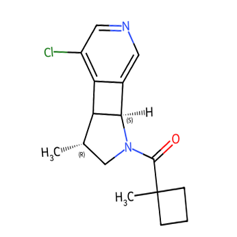 C[C@H]1CN(C(=O)C2(C)CCC2)[C@@H]2c3cncc(Cl)c3C21